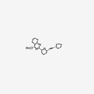 COc1nc(-c2cccc(C#Cc3ccccc3)n2)nc2ccccc12